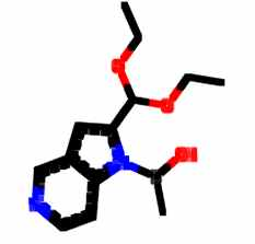 CCOC(OCC)c1cc2cnccc2n1B(C)O